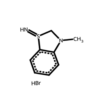 Br.CN1CS(=N)c2ccccc21